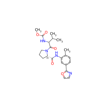 COC(=O)NC(C(=O)N1CCC[C@H]1C(=O)Nc1cc(-c2ncco2)ccc1C)C(C)C